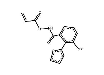 C=CC(=O)ONC(=O)c1cccc(CCC)c1-c1ccco1